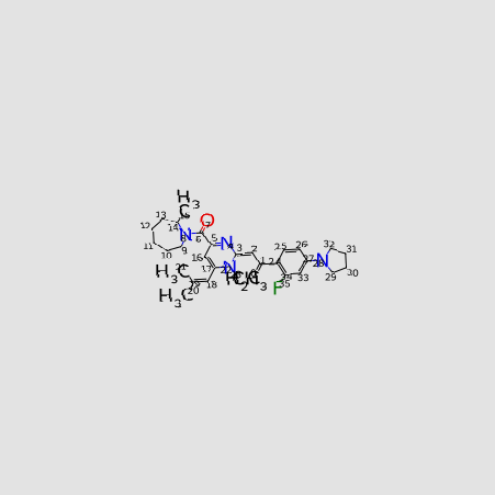 C=C(/C=C1/N=C(C(=O)N2CCCCCC2C)C=C(C=C(C)C)N1C)c1ccc(N2CCCC2)cc1F